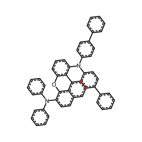 c1ccc(-c2ccc(N(c3ccc(-c4ccccc4)cc3)c3cccc4c3-c3cccc5ccc(N(c6ccccc6)c6ccccc6)c(c35)O4)cc2)cc1